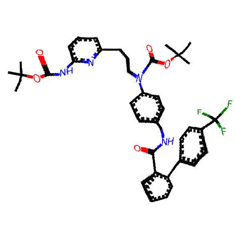 CC(C)(C)OC(=O)Nc1cccc(CCN(C(=O)OC(C)(C)C)c2ccc(NC(=O)c3ccccc3-c3ccc(C(F)(F)F)cc3)cc2)n1